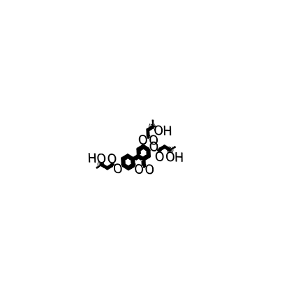 C[C@@H](O)CC(=O)Oc1ccc2c(c1)oc(=O)c1cc(OC(=O)C[C@@H](C)O)c(OC(=O)C[C@@H](C)O)cc12